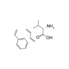 C=CC=C.C=Cc1ccccc1.CC(C)[C@H](N)C(=O)O